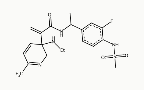 C=C(C(=O)NC(C)c1ccc(NS(C)(=O)=O)c(F)c1)C1(NCC)C=CC(C(F)(F)F)=NC1